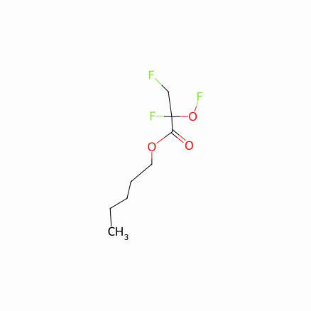 CCCCCOC(=O)C(F)(CF)OF